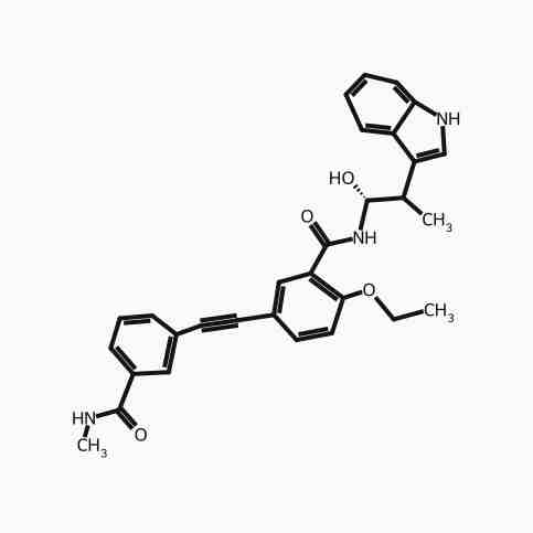 CCOc1ccc(C#Cc2cccc(C(=O)NC)c2)cc1C(=O)N[C@H](O)C(C)c1c[nH]c2ccccc12